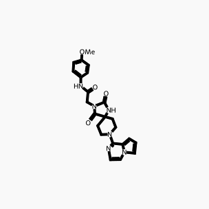 COc1ccc(NC(=O)CN2C(=O)NC3(CCN(c4nccn5cccc45)CC3)C2=O)cc1